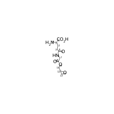 N[C@@H](CCC(=O)NCC(=O)OCC1CO1)C(=O)O